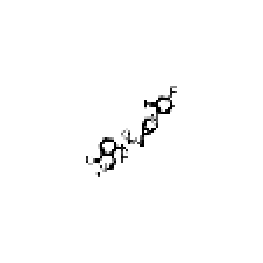 Cn1ccc2c(NC(=O)NC3C4CN(c5ccc(F)cc5F)CC43)cccc2c1=O